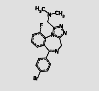 CN(C)Cc1nnc2n1-c1c(F)cccc1C(c1ccc(Br)cc1)=NC2